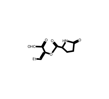 CCC=C(OC(=O)C1CCC(=O)N1)C(=O)C=O